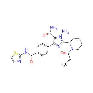 C=CC(=O)N1CCCCC1c1nc(-c2ccc(C(=O)Nc3nccs3)cc2)c(C(N)=O)n1N